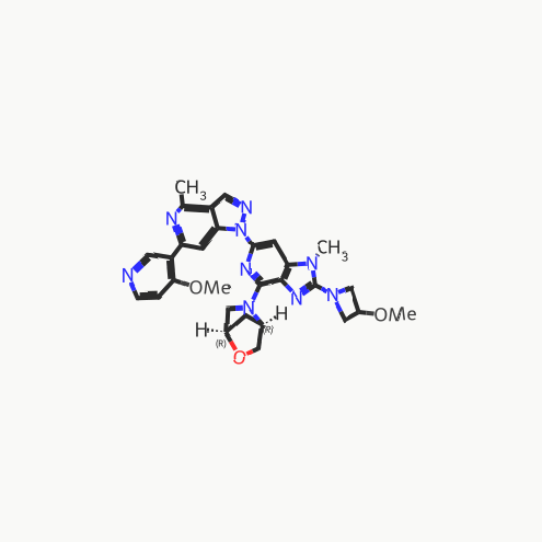 COc1ccncc1-c1cc2c(cnn2-c2cc3c(nc(N4CC(OC)C4)n3C)c(N3C[C@H]4C[C@@H]3CO4)n2)c(C)n1